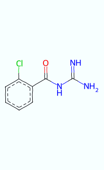 N=C(N)NC(=O)c1ccccc1Cl